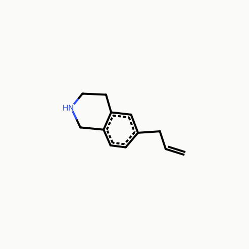 C=CCc1ccc2c(c1)CCNC2